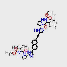 COC(=O)N[C@H](C(=O)N1CCC[C@H]1c1ncc(C#Cc2ccc3cc(-c4cnc([C@@H]5CCCN5C(=O)[C@@H](NC(=O)OC)C(C)C)[nH]4)ccc3c2)[nH]1)C(C)C